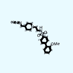 COc1ccccc1-c1ccc(S(=O)(=O)NCCN2CCC(CN=[N+]=[N-])CC2)cc1